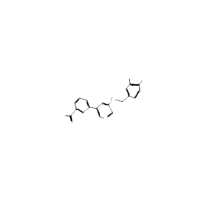 NC(=O)c1cccc(-c2cncc(NCc3ccc(F)c(F)c3)c2)c1